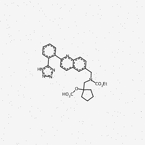 CCOC(=O)N(Cc1ccc2nc(-c3ccccc3-c3nnn[nH]3)ccc2c1)CC1(OC(=O)O)CCCC1